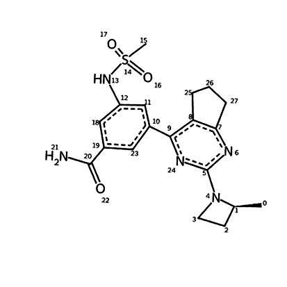 C[C@H]1CCN1c1nc2c(c(-c3cc(NS(C)(=O)=O)cc(C(N)=O)c3)n1)CCC2